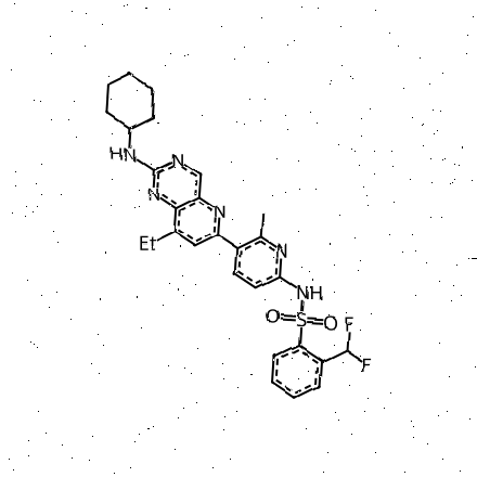 CCc1cc(-c2ccc(NS(=O)(=O)c3ccccc3C(F)F)nc2C)nc2cnc(NC3CCCCC3)nc12